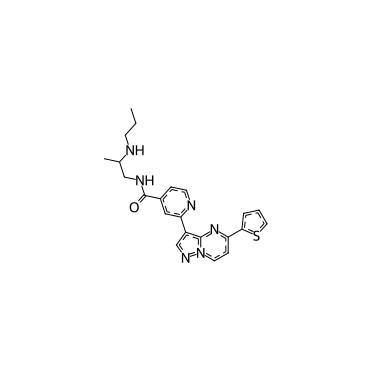 CCCNC(C)CNC(=O)c1ccnc(-c2cnn3ccc(-c4cccs4)nc23)c1